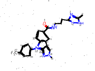 Cc1nc(CCCNC(=O)c2ccc3c(c2)c2cn(C)nc2n3-c2ccc(C(F)(F)F)cc2)n[nH]1